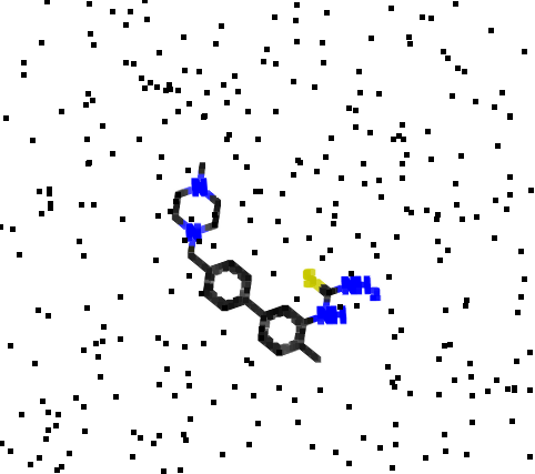 Cc1ccc(-c2ccc(CN3CCN(C)CC3)cc2)cc1NC(N)=S